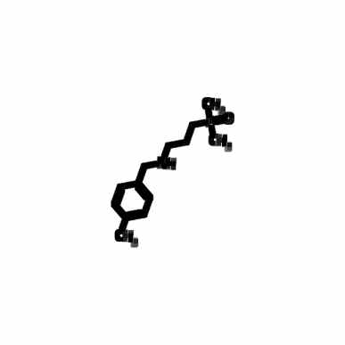 Cc1ccc(CNCCCP(C)(C)=O)cc1